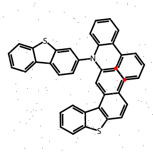 c1ccc(-c2ccccc2N(c2ccc3c(c2)sc2ccccc23)c2ccc3ccc4sc5ccccc5c4c3c2)cc1